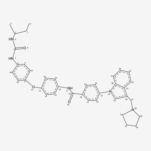 CCC(C)NC(=O)Nc1ccc(Oc2ccc(NC(=O)c3ccc(-n4cc(CN5CCCC5)c5ccccc54)cc3)cc2)cc1